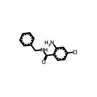 Nc1cc(Cl)ccc1C(=O)NCc1ccccc1